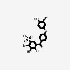 CC(C)c1cc(Oc2ccc(C(=O)c3cc(S(N)(=O)=O)c(Br)c(Br)c3Cl)cc2)ccc1O